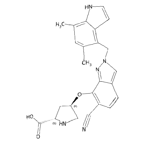 Cc1cc(C)c2[nH]ccc2c1Cn1cc2ccc(C#N)c(O[C@H]3CN[C@H](C(=O)O)C3)c2n1